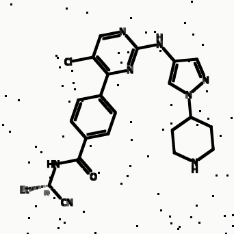 CC[C@@H](C#N)NC(=O)c1ccc(-c2nc(Nc3cnn(C4CCNCC4)c3)ncc2Cl)cc1